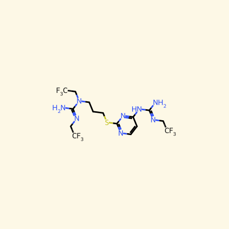 NC(=NCC(F)(F)F)Nc1ccnc(SCCCN(CC(F)(F)F)C(N)=NCC(F)(F)F)n1